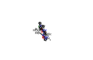 C#CCCCCN(C(=O)[C@@H](NC(=O)[C@H]1CCCCN1C)[C@@H](C)CC)[C@H](C[C@@H](OC(C)=O)c1nc(C(=O)NC(Cc2ccc(F)c(N(Cc3ccccc3)Cc3ccccc3)c2)CC(C)(C)C(=O)O)cs1)C(C)C